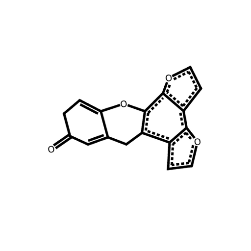 O=C1C=C2Cc3c(c4occc4c4occc34)OC2=CC1